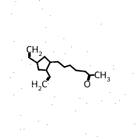 C=CC1CC(C=C)C(CCCCCC(C)=O)C1